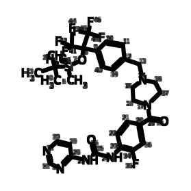 CC(C)(C)[Si](C)(C)OC(c1ccc(CN2CCN(C(=O)c3ccc(NC(=O)Nc4ccncn4)c(F)c3)CC2)cc1)(C(F)(F)F)C(F)(F)F